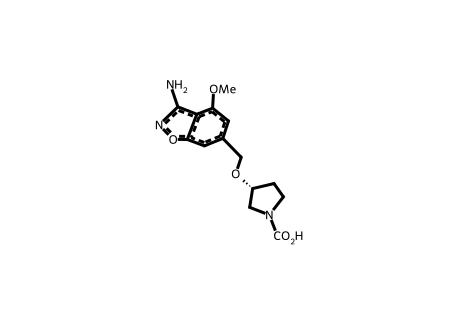 COc1cc(CO[C@@H]2CCN(C(=O)O)C2)cc2onc(N)c12